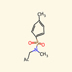 CC(=O)CN(C)S(=O)(=O)c1ccc(C)cc1